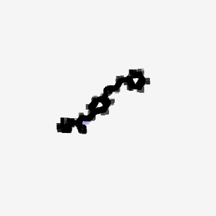 O=C(/C=C/c1ccc(OCCc2ccccn2)cc1)NO